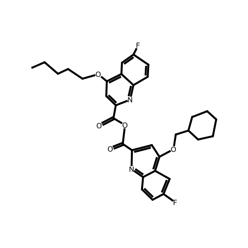 CCCCCOc1cc(C(=O)OC(=O)c2cc(OCC3CCCCC3)c3cc(F)ccc3n2)nc2ccc(F)cc12